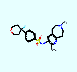 COc1nc2c(cc1NS(=O)(=O)c1ccc(C3(F)CCOCC3)cc1)CCN(C)CC2